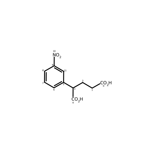 O=C(O)CCC(C(=O)O)c1cccc([N+](=O)[O-])c1